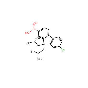 CCCCC(CC)CC1(CC(CC)CCCC)c2cc(Cl)ccc2-c2ccc(B(O)O)cc21